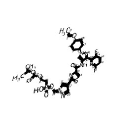 CCO[C@H]1CC[C@H](n2cc(NC(=O)c3csc(-c4cnn(COP(=O)(O)CCOC(=O)OC(C)C)c4)n3)c(-c3nc(F)ccc3F)n2)CC1